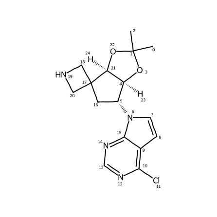 CC1(C)O[C@H]2[C@H](n3ccc4c(Cl)ncnc43)CC3(CNC3)[C@H]2O1